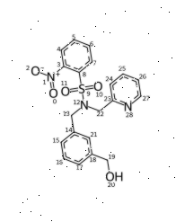 O=[N+]([O-])c1ccccc1S(=O)(=O)N(Cc1cccc(CO)c1)Cc1ccccn1